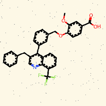 COc1cc(C(=O)O)ccc1OCc1cccc(-c2c(Cc3ccccc3)cnc3c(C(F)(F)F)cccc23)c1